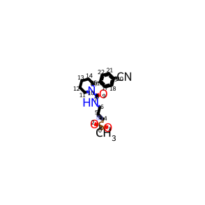 CS(=O)(=O)/C=C/CNC(=O)N1CCCC[C@@H]1c1ccc(C#N)cc1